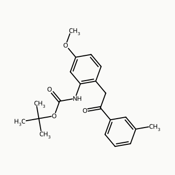 COc1ccc(CC(=O)c2cccc(C)c2)c(NC(=O)OC(C)(C)C)c1